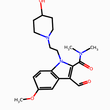 COc1ccc2c(c1)c(C=O)c(C(=O)N(C)C)n2CCN1CCC(O)CC1